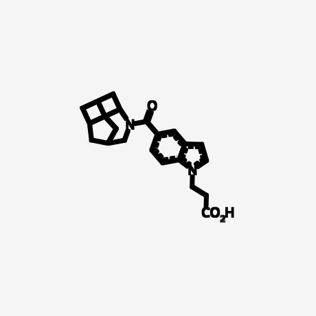 O=C(O)CCn1ccc2cc(C(=O)N3CC4CC5CC6CC3C56C4)ccc21